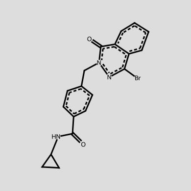 O=C(NC1CC1)c1ccc(Cn2nc(Br)c3ccccc3c2=O)cc1